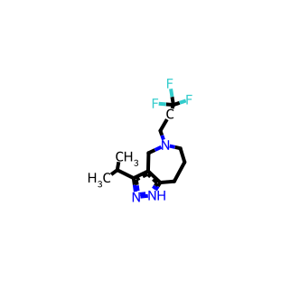 CC(C)c1n[nH]c2c1CN(CCC(F)(F)F)CCC2